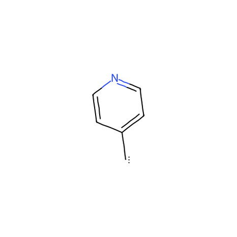 [C]c1ccncc1